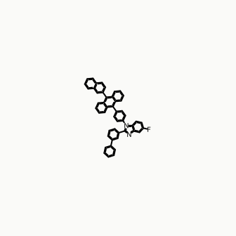 Fc1ccc2c(c1)nc(-c1cccc(-c3ccccc3)c1)n2-c1ccc(-c2c3ccccc3c(-c3ccc4ccccc4c3)c3ccccc23)cc1